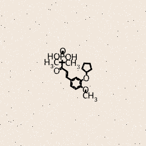 COc1ccc(C=CC(=O)C(C)(C)P(=O)(O)O)cc1OC1CCCC1